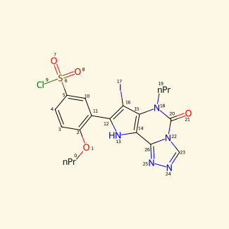 CCCOc1ccc(S(=O)(=O)Cl)cc1-c1[nH]c2c(c1I)n(CCC)c(=O)n1cnnc21